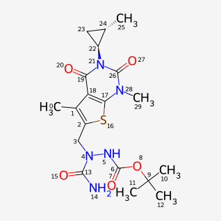 Cc1c(CN(NC(=O)OC(C)(C)C)C(N)=O)sc2c1c(=O)n([C@H]1C[C@@H]1C)c(=O)n2C